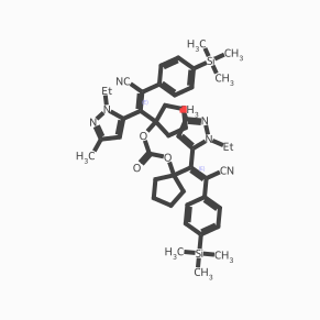 CCn1nc(C)cc1/C(=C(\C#N)c1ccc([Si](C)(C)C)cc1)C1(OC(=O)OC2(/C(=C(/C#N)c3ccc([Si](C)(C)C)cc3)c3cc(C)nn3CC)CCCC2)CCCC1